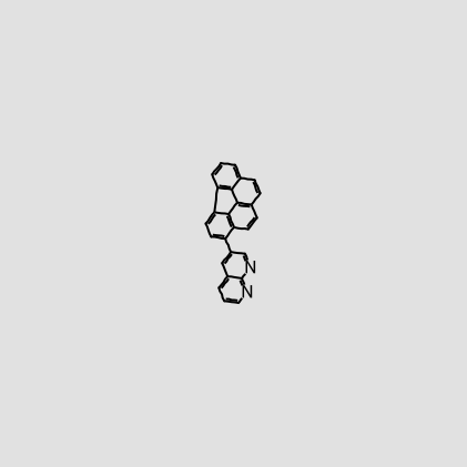 c1cnc2ncc(-c3ccc4c5c3ccc3ccc6cccc-4c6c35)cc2c1